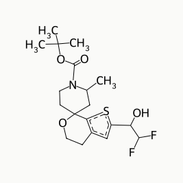 CC1CC2(CCN1C(=O)OC(C)(C)C)OCCc1cc(C(O)C(F)F)sc12